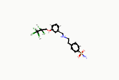 NS(=O)(=O)c1ccc(CCNCc2cccc(OCC(F)(F)C(F)(F)F)c2)cc1